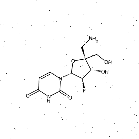 NC[C@]1(CO)O[C@@H](n2ccc(=O)[nH]c2=O)[C@H](F)[C@H]1O